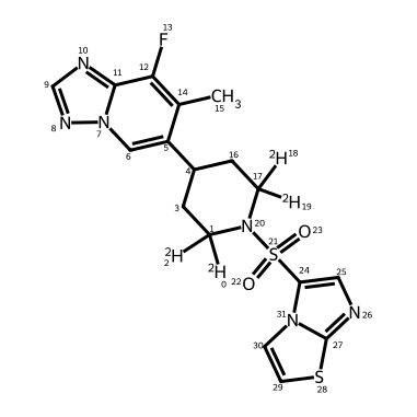 [2H]C1([2H])CC(c2cn3ncnc3c(F)c2C)CC([2H])([2H])N1S(=O)(=O)c1cnc2sccn12